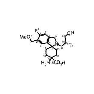 COCc1cc2c(cc1F)CN(C[C@@H](C)CO)C21CCC(N)(C(=O)O)CC1